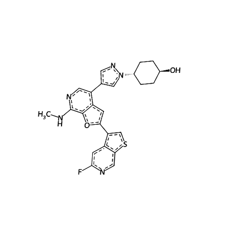 CNc1ncc(-c2cnn([C@H]3CC[C@H](O)CC3)c2)c2cc(-c3csc4cnc(F)cc34)oc12